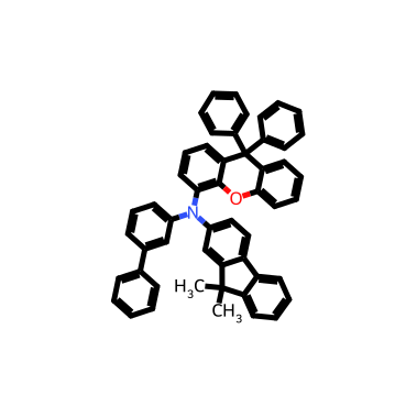 CC1(C)c2ccccc2-c2ccc(N(c3cccc(-c4ccccc4)c3)c3cccc4c3Oc3ccccc3C4(c3ccccc3)c3ccccc3)cc21